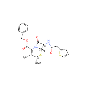 CO[C@H]1S[C@H]2[C@@H](NC(=O)Cc3cccs3)C(=O)N2C(C(=O)OCc2ccccc2)=C1C